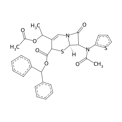 CC(=O)OC(C)C1=CN2C(=O)C(N(C(C)=O)c3cccs3)[C@H]2SC1C(=O)OC(c1ccccc1)c1ccccc1